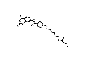 CC=CC(=O)OCCCCCCOc1ccc(C(=O)Oc2ccc3c(C)cc(=O)oc3c2)cc1